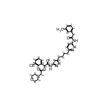 Cc1cccc(CC(=O)Nc2ccc(CCCCc3nnc(NC(=O)C(OC(=O)CN4CCOCC4)c4cccc(Cl)c4)s3)nn2)c1